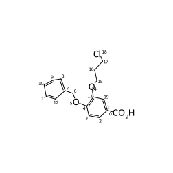 O=C(O)c1ccc(OCc2ccccc2)c(OCCCCl)c1